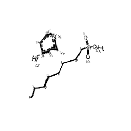 CCCCCCCCS(=O)(=O)O.F.c1ccncc1